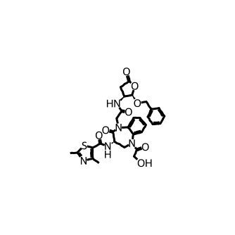 Cc1nc(C)c(C(=O)N[C@H]2CN(C(=O)CO)c3ccccc3N(CC(=O)N[C@H]3CC(=O)O[C@H]3OCc3ccccc3)C2=O)s1